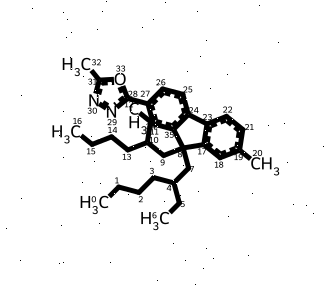 CCCCC(CC)CC1(CC(CC)CCCC)c2cc(C)ccc2-c2ccc(-c3nnc(C)o3)cc21